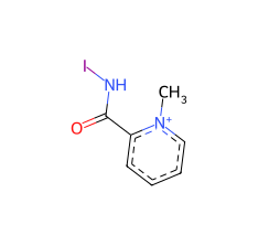 C[n+]1ccccc1C(=O)NI